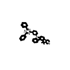 CC1(C)c2cnccc2-c2ccc3c(c21)c1ccccc1n3C1=CC=CC(c2nc(-c3ccccc3)nc(-c3ccccc3)n2)C1